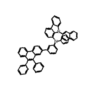 c1ccc(-c2c(-c3ccccc3)c3cc(-c4cccc(N(c5ccccc5)c5cccc6c7ccccc7n(-c7ccc8ccccc8c7)c56)c4)ccc3c3ccccc23)cc1